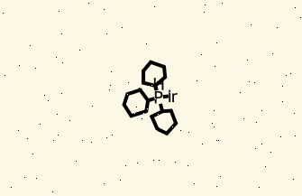 [Ir][PH](C1CCCCC1)(C1CCCCC1)C1CCCCC1